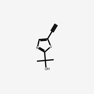 C#Cc1cnc(C(C)(C)O)s1